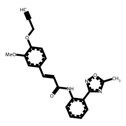 C#CCOc1ccc(/C=C/C(=O)Nc2ccccc2-c2noc(C)n2)cc1OC